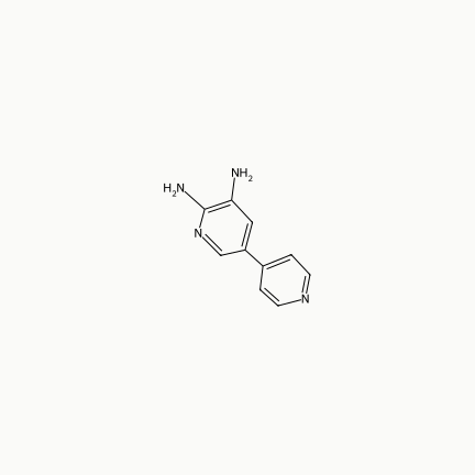 Nc1cc(-c2ccncc2)cnc1N